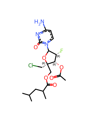 CC(=O)O[C@H]1[C@@H](F)C(n2ccc(N)nc2=O)O[C@]1(CCl)COC(=O)C(C)CC(C)C